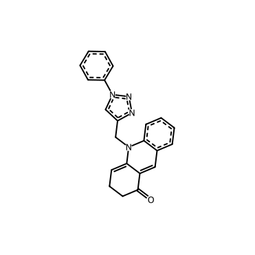 O=C1CCC=C2C1=Cc1ccccc1N2Cc1cn(-c2ccccc2)nn1